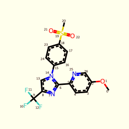 COc1ccc(-c2nc(C(F)(F)F)cn2-c2ccc(S(C)(=O)=O)cc2)nc1